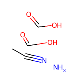 CC#N.N.O=CO.O=CO